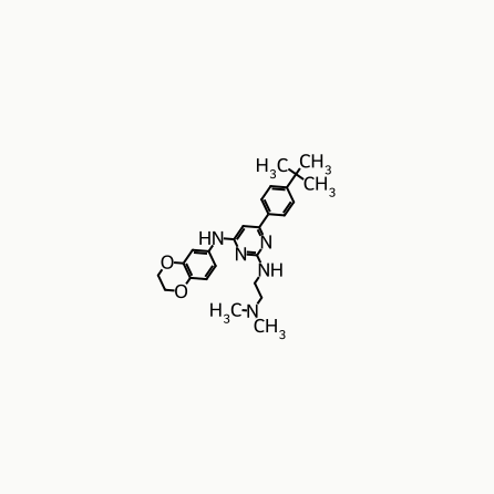 CN(C)CCNc1nc(Nc2ccc3c(c2)OCCO3)cc(-c2ccc(C(C)(C)C)cc2)n1